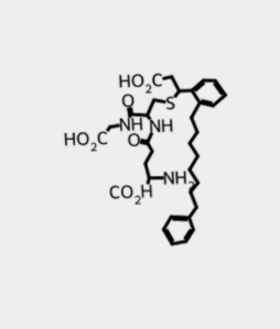 NC(CCC(=O)NC(CSC(CC(=O)O)c1ccccc1CCCCCCCCc1ccccc1)C(=O)NCC(=O)O)C(=O)O